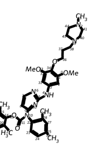 COc1cc(Nc2nccc(N(C(=O)Oc3c(C)cccc3C)c3ccc(C)cc3C)n2)cc(OC)c1OCCCN1CCN(C)CC1